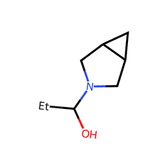 CCC(O)N1CC2CC2C1